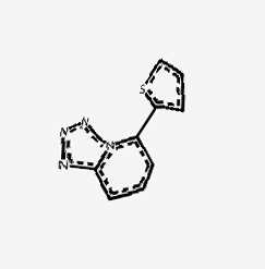 c1csc(-c2cccc3nnnn23)c1